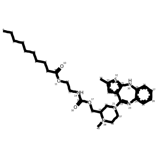 CCCCCCCCCC(=O)OCCNC(=O)OCC1CN(C2=Nc3ccccc3Nc3sc(C)cc32)CCN1C